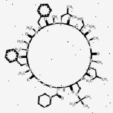 CC(C)C[C@H]1C(=O)NC(COC(C)(C)C)C(=O)N[C@H](C(=O)N2CCCCC2)CSCC(=O)N(C)[C@@H](Cc2ccccc2)C(=O)N(C)[C@@H](C)C(=O)N(C)[C@@H](Cc2ccccc2)C(=O)N(C)[C@@H](CC(C)C)C(=O)N[C@@H]([C@@H](C)O)C(=O)N(C)CC(=O)N1C